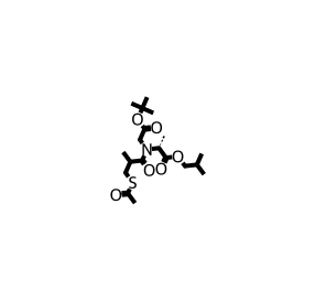 CC(=O)SCC(C)C(=O)N(CC(=O)OC(C)(C)C)[C@H](C)C(=O)OCC(C)C